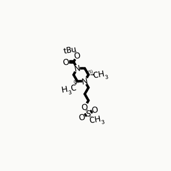 C[C@@H]1CN(C(=O)OC(C)(C)C)C[C@H](C)N1CCCOS(C)(=O)=O